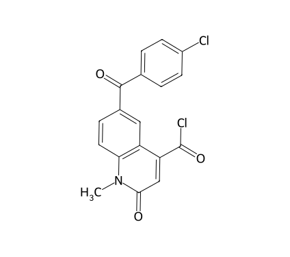 Cn1c(=O)cc(C(=O)Cl)c2cc(C(=O)c3ccc(Cl)cc3)ccc21